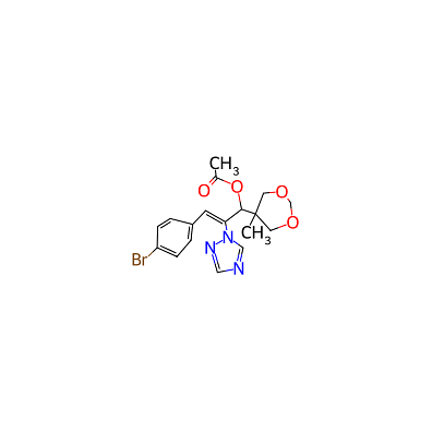 CC(=O)OC(C(=Cc1ccc(Br)cc1)n1cncn1)C1(C)COCOC1